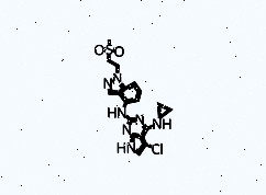 CS(=O)(=O)CCn1ncc2c(Nc3nc(NC4CC4)c4c(Cl)c[nH]c4n3)cccc21